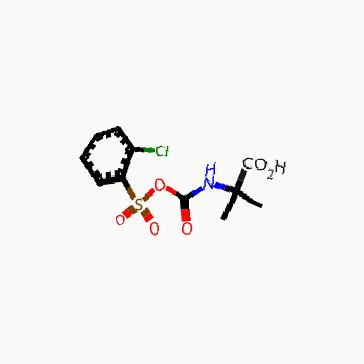 CC(C)(NC(=O)OS(=O)(=O)c1ccccc1Cl)C(=O)O